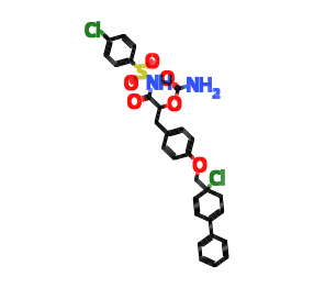 NC(=O)OC(Cc1ccc(OCC2(Cl)C=CC(c3ccccc3)=CC2)cc1)C(=O)NS(=O)(=O)c1ccc(Cl)cc1